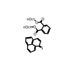 CCCCCCCCOC(=O)c1ccccc1C(=O)OCCCCCCCC.S=C1C=Cc2cccc3cccc1c23